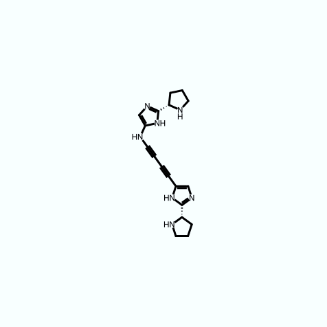 C(C#Cc1cnc([C@@H]2CCCN2)[nH]1)#CNc1cnc([C@@H]2CCCN2)[nH]1